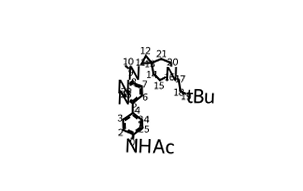 CC(=O)Nc1ccc(-c2ccc(N(C)[C@@H]3CC34CCN(CCC(C)(C)C)CC4)nn2)cc1